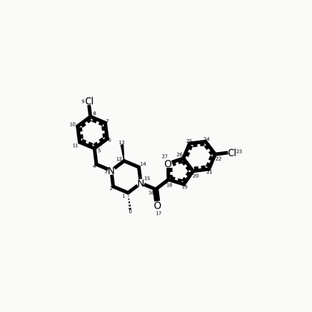 C[C@@H]1CN(Cc2ccc(Cl)cc2)[C@@H](C)CN1C(=O)c1cc2cc(Cl)ccc2o1